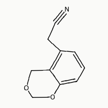 N#CCc1cccc2c1COCO2